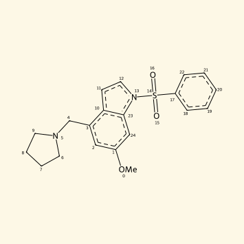 COc1cc(CN2CCCC2)c2ccn(S(=O)(=O)c3ccccc3)c2c1